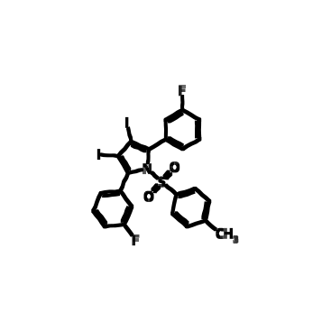 Cc1ccc(S(=O)(=O)n2c(-c3cccc(F)c3)c(I)c(I)c2-c2cccc(F)c2)cc1